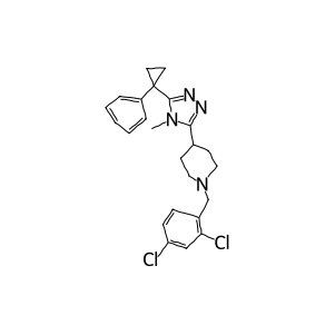 Cn1c(C2CCN(Cc3ccc(Cl)cc3Cl)CC2)nnc1C1(c2ccccc2)CC1